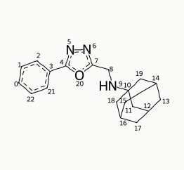 c1ccc(-c2nnc(CNC34CC5CC(CC(C5)C3)C4)o2)cc1